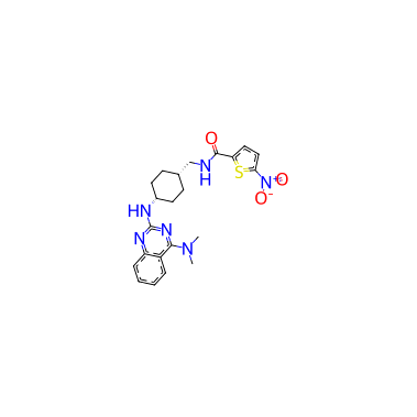 CN(C)c1nc(N[C@H]2CC[C@@H](CNC(=O)c3ccc([N+](=O)[O-])s3)CC2)nc2ccccc12